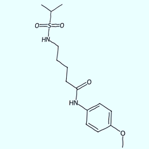 COc1ccc(NC(=O)CCCCNS(=O)(=O)C(C)C)cc1